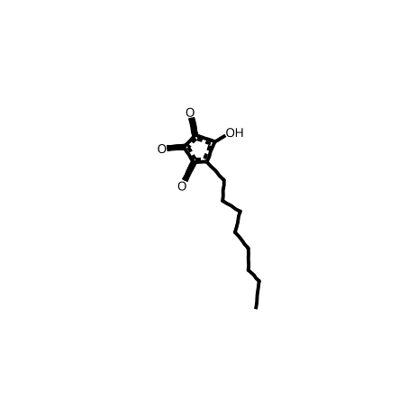 CCCCCCCCc1c(O)c(=O)c(=O)c1=O